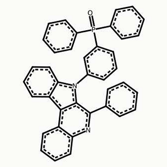 O=P(c1ccccc1)(c1ccccc1)c1cccc(-n2c3ccccc3c3c4ccccc4nc(-c4ccccc4)c32)c1